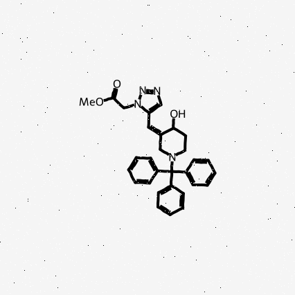 COC(=O)Cn1nncc1C=C1CN(C(c2ccccc2)(c2ccccc2)c2ccccc2)CCC1O